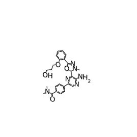 CN(C)C(=O)c1ccc(-c2cnc(N)c(C3OC(c4ccccc4OCCCO)=NN3C)n2)cc1